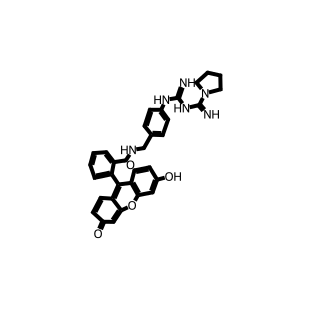 N=C(NC(=N)N1CCCC1)Nc1ccc(CNC(=O)c2ccccc2-c2c3ccc(=O)cc-3oc3cc(O)ccc23)cc1